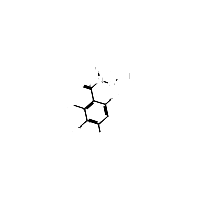 CON(C)C(=O)c1c(F)cc(Cl)c(Cl)c1Cl